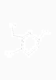 N#CCc1nc(C(F)(F)F)ncc1C(F)(F)F